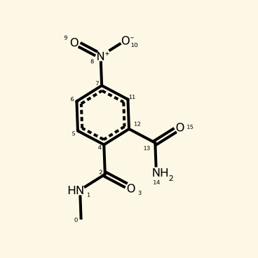 CNC(=O)c1ccc([N+](=O)[O-])cc1C(N)=O